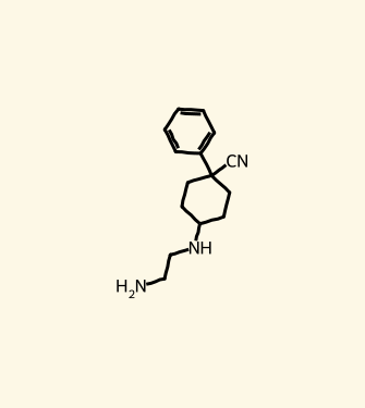 N#CC1(c2ccccc2)CCC(NCCN)CC1